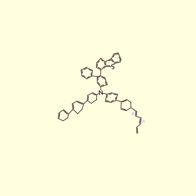 C=C/C=C\C=C\C1C=CC(c2ccc(N(C3=CC=C(C4=CC=C(C5=CC=CCC5)CC4)CC3)c3ccc(-c4cccc5c4sc4ccccc45)c(-c4ccccc4)c3)cc2)=CC1